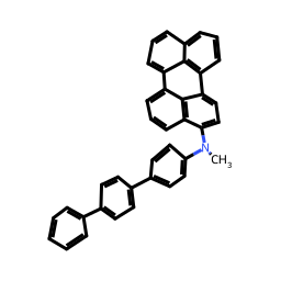 CN(c1ccc(-c2ccc(-c3ccccc3)cc2)cc1)c1ccc2c3cccc4cccc(c5cccc1c52)c43